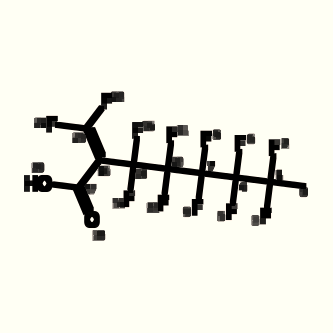 CC(F)(F)C(F)(F)C(F)(F)C(F)(F)C(F)(F)C(C(=O)O)=C(F)F